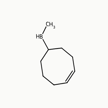 CBC1CC/C=C\CCC1